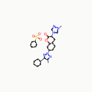 Cc1nn(-c2ccc3cc(-n4cn[n+](C)c4)c(=O)oc3c2)nc1-c1ccccc1.O=S(=O)([O-])c1ccccc1